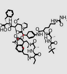 CCC(C(=O)N[C@@H](C)C(=O)N(C)CC([C@@H](C)CC)[C@@H](CC(=O)N1CCC[C@H]1[C@H](OC)[C@@H](C)C(=O)N[C@@H](Cc1ccccc1)C(=O)O)OC)N(C)CCc1ccc(N(C)C(=O)OCC2C=CC(NC(=O)C(CCCCNC(N)=O)NC(=O)[C@H](C)NC(=O)OC(C)(C)C)=CC2)cc1